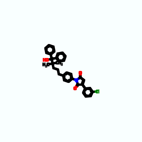 CC(C)(CCCc1ccc(N2C(=O)C=C(c3cccc(Cl)c3)C2=O)cc1)[Si](O)(c1ccccc1)c1ccccc1